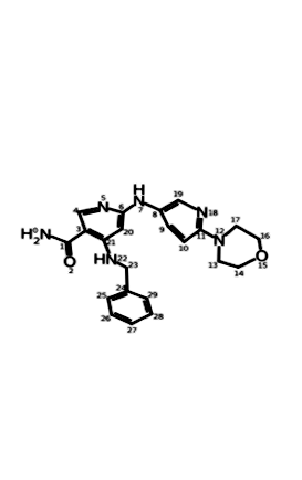 NC(=O)c1cnc(Nc2ccc(N3CCOCC3)nc2)cc1NCc1ccccc1